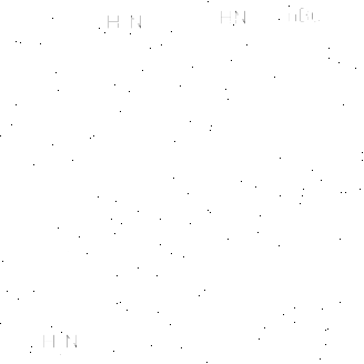 CCCCNc1ccc(-c2ccc(N)cc2)cc1N